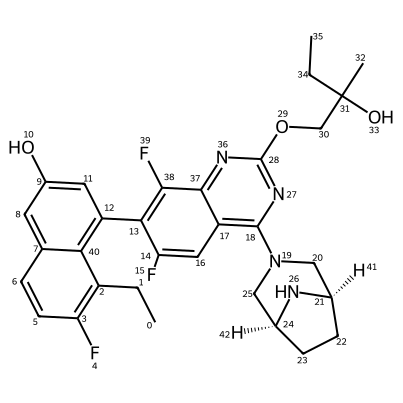 CCc1c(F)ccc2cc(O)cc(-c3c(F)cc4c(N5C[C@H]6CC[C@@H](C5)N6)nc(OCC(C)(O)CC)nc4c3F)c12